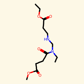 CCOC(=O)CCNCN(CC)C(=O)CCC(=O)OC